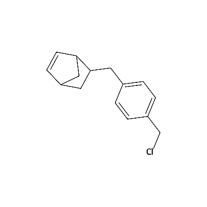 ClCc1ccc(CC2CC3C=CC2C3)cc1